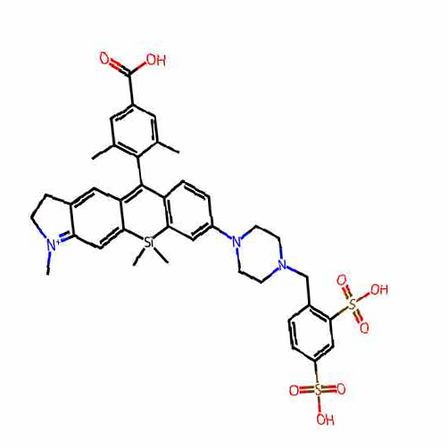 Cc1cc(C(=O)O)cc(C)c1C1=c2cc3c(cc2[Si](C)(C)c2cc(N4CCN(Cc5ccc(S(=O)(=O)O)cc5S(=O)(=O)O)CC4)ccc21)=[N+](C)CC3